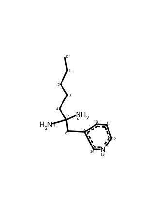 CCCCCC(N)(N)Cc1cccnc1